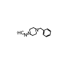 [CH]=NN1CCN(Cc2ccccc2)CC1